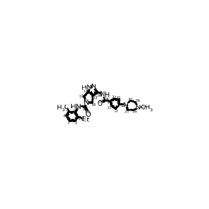 CCc1cccc(C)c1NC(=O)N1Cc2[nH]nc(NC(=O)c3ccc(N4CCN(C)CC4)cc3)c2C1